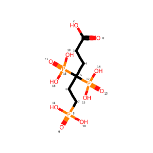 O=C(O)CCC(CCP(=O)(O)O)(P(=O)(O)O)P(=O)(O)O